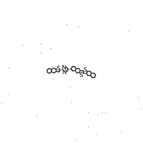 c1ccc2cc3sc(-c4ncc(-c5ccc6cc7c(cc6c5)sc5c6cc8ccccc8cc6sc75)cn4)cc3cc2c1